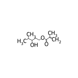 C=C(C)C(=O)OCCC(O)C(C)C